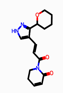 O=C1C=CCCN1C(=O)/C=C/c1c[nH]nc1C1CCCCO1